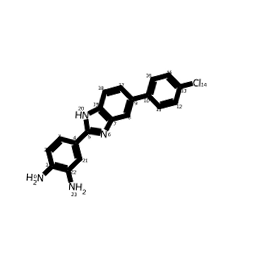 Nc1ccc(-c2nc3cc(-c4ccc(Cl)cc4)ccc3[nH]2)cc1N